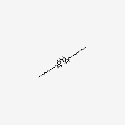 CCCCCCCCCCCCCCC(=S)c1cc(C)c(Sc2cc(C(C)(C)C)c(C(=S)CCCCCCCCCCCCCC)cc2C)cc1C(C)(C)C